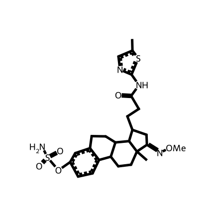 CO/N=C1\CC(CCC(=O)Nc2ncc(C)s2)C2C3CCc4cc(OS(N)(=O)=O)ccc4C3CCC12C